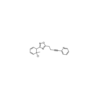 CC1(Cl)C=CC=CC1c1noc(CCC#Cc2ccccn2)n1